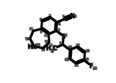 CC(Sc1c(C#N)ccc2c1CCNCC2)c1ccc(F)cc1